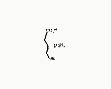 CCCCCCCC(=O)O.[MgH2]